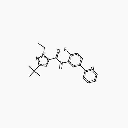 CCn1nc(C(C)(C)C)cc1C(=O)Nc1cc(-c2ccccn2)ccc1F